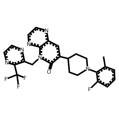 Cc1cccc(F)c1N1CCC(c2cc3nccnc3n(Cc3nccnc3C(F)(F)F)c2=O)CC1